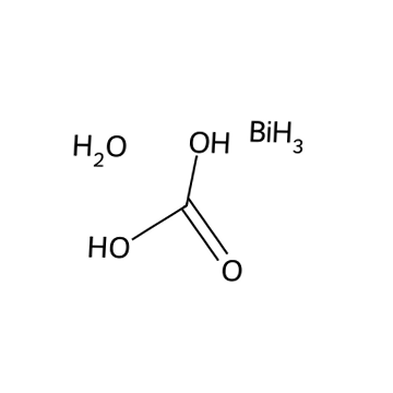 O.O=C(O)O.[BiH3]